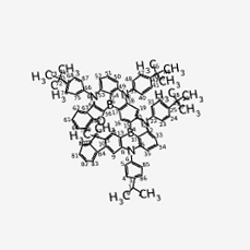 CC(C)c1ccc(N2c3cc4c(cc3B3c5cc6c(cc5N(c5ccc(C(C)(C)C)cc5)c5cccc2c53)N(c2ccc(C(C)(C)C)cc2)c2cccc3c2B6c2oc5ccccc5c2N3c2ccc(C(C)(C)C)cc2)C(C)(C)c2ccccc2-4)cc1